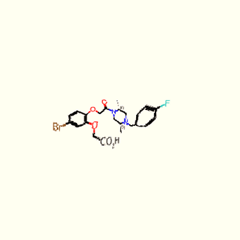 C[C@@H]1CN(Cc2ccc(F)cc2)[C@@H](C)CN1C(=O)COc1ccc(Br)cc1OCC(=O)O